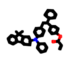 C=CC(=O)Oc1ccc(C(=Cc2ccc(N(c3ccccc3)c3ccc4c(c3)C(C)(C)c3ccccc3-4)cc2)c2ccccc2)cc1